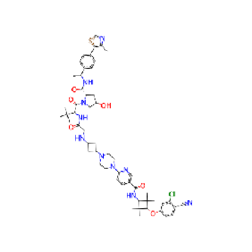 Cc1ncsc1-c1ccc([C@H](C)NC(=O)[C@@H]2C[C@@H](O)CN2C(=O)[C@@H](NC(=O)CNC2CC(N3CCN(c4ccc(C(=O)NC5C(C)(C)C(Oc6ccc(C#N)c(Cl)c6)C5(C)C)cn4)CC3)C2)C(C)(C)C)cc1